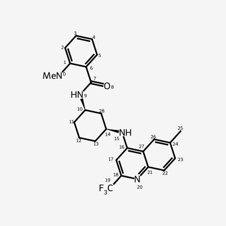 CNc1ccccc1C(=O)N[C@@H]1CCC[C@H](Nc2cc(C(F)(F)F)nc3ccc(C)cc23)C1